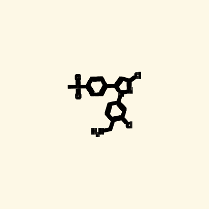 CS(=O)(=O)c1ccc(-c2cc(Cl)nn2-c2ccc(CN)c(Cl)c2)cc1